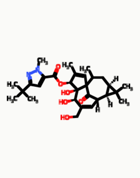 CC1=CC23C(=O)[C@@H](C=C(CO)[C@@H](O)[C@]2(O)[C@H]1OC(=O)c1cc(C(C)(C)C)nn1C)[C@H]1[C@@H](CC3C)C1(C)C